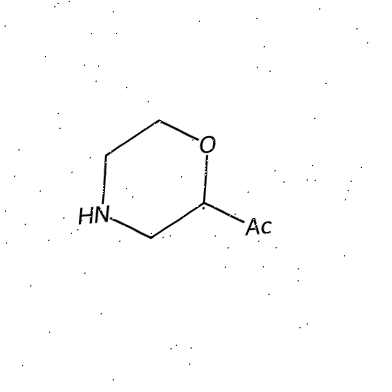 CC(=O)[C]1CNCCO1